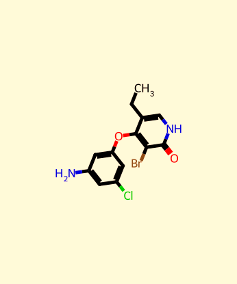 CCc1c[nH]c(=O)c(Br)c1Oc1cc(N)cc(Cl)c1